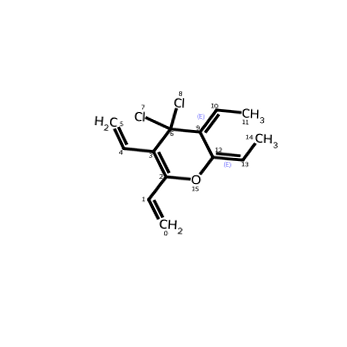 C=CC1=C(C=C)C(Cl)(Cl)C(=C/C)/C(=C\C)O1